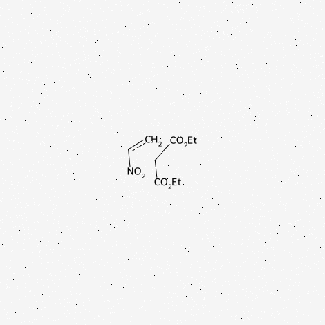 C=C[N+](=O)[O-].CCOC(=O)CC(=O)OCC